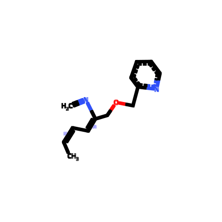 C=N/C(=C\C=C/C)COCc1ccccn1